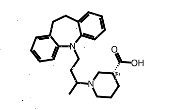 CC(CCN1c2ccccc2CCc2ccccc21)N1CCC[C@@H](C(=O)O)C1